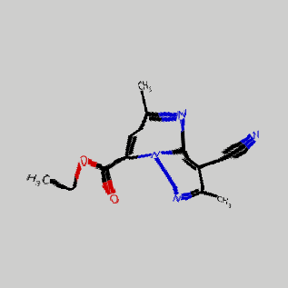 CCOC(=O)c1cc(C)nc2c(C#N)c(C)nn12